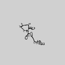 CC(C)(C)COC(=O)N1CCCCC1=O